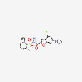 Cc1cccc(C(C)C)c1S(=O)(=O)NC(=O)c1cc2c(F)cc(N3CCC3)cc2o1